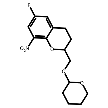 O=[N+]([O-])c1cc(F)cc2c1OC(COC1CCCCO1)CC2